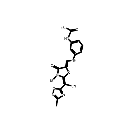 CCn1c(=C(C#N)c2nc(C)no2)sc(=CNc2cccc(NC(=O)C(C)(C)C)c2)c1=O